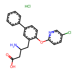 Cl.NC(CC(=O)O)Cc1cc(-c2ccccc2)ccc1Oc1ccc(Cl)cn1